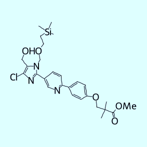 COC(=O)C(C)(C)COc1ccc(-c2ccc(-c3nc(Cl)c(CO)n3COCC[Si](C)(C)C)cn2)cc1